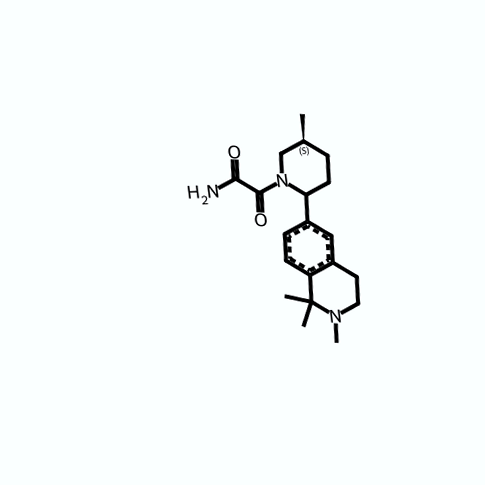 C[C@H]1CCC(c2ccc3c(c2)CCN(C)C3(C)C)N(C(=O)C(N)=O)C1